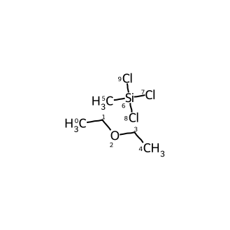 CCOCC.C[Si](Cl)(Cl)Cl